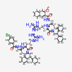 COc1cc2ccccc2cc1C(=O)NC[C@@H]1CCN(CC(c2ccccc2)c2ccccc2)C(=O)[C@H](CCCNC(=N)N)N1.N=C(N)NCCC[C@@H]1N[C@H](CNC(=O)c2ccc(Br)cc2)CCN(CC(c2ccccc2)c2ccccc2)C1=O